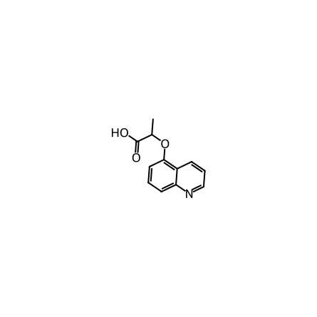 CC(Oc1cccc2ncccc12)C(=O)O